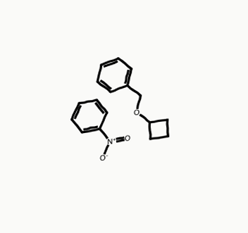 O=[N+]([O-])c1ccccc1.c1ccc(COC2CCC2)cc1